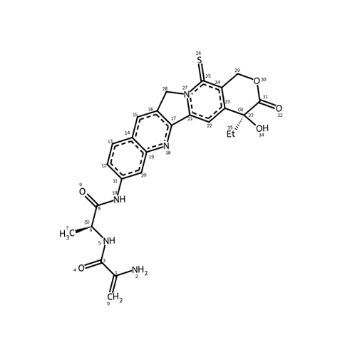 C=C(N)C(=O)N[C@@H](C)C(=O)Nc1ccc2cc3c(nc2c1)-c1cc2c(c(=S)n1C3)COC(=O)[C@]2(O)CC